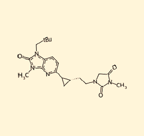 CN1C(=O)CN(CC[C@@H]2CC2c2ccc3c(n2)n(C)c(=O)n3CC(C)(C)C)C1=O